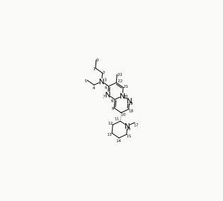 CCCN(CC)C1=NC2=C[C@@H](C3CCCCN3C)C=NN2C=C1C